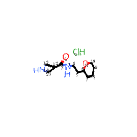 Cl.O=C(NCCC1CCCCO1)C1CNC1